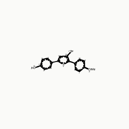 COc1ccc(-c2sc(-c3ccc(O)cc3)cc2Br)cc1